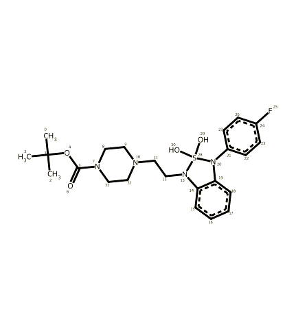 CC(C)(C)OC(=O)N1CCN(CCN2c3ccccc3N(c3ccc(F)cc3)S2(O)O)CC1